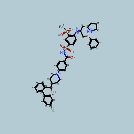 O=C(NS(=O)(=O)c1ccc(NC(CSc2ccccc2)C[C@H]2CCCN2)c(S(=O)(=O)C(F)(F)F)c1)c1ccc(N2CCC(C(O)c3ccccc3-c3ccc(Cl)cc3)CC2)cc1